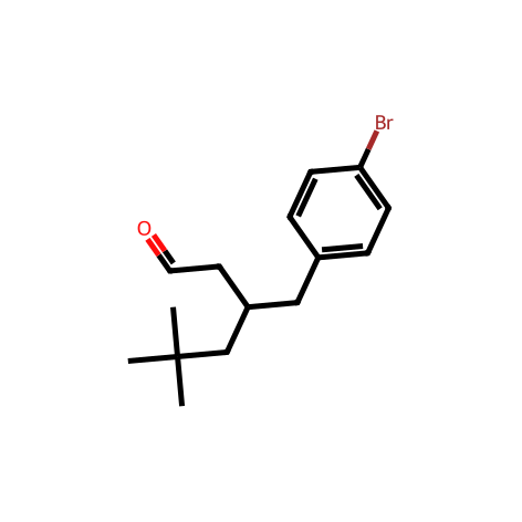 CC(C)(C)CC(CC=O)Cc1ccc(Br)cc1